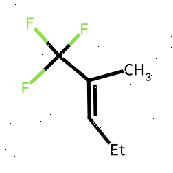 CC/C=C(\C)C(F)(F)F